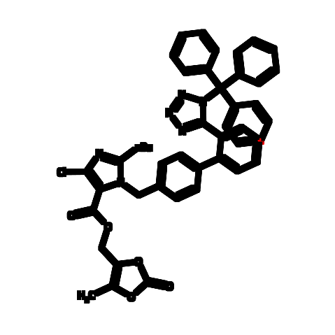 CCCCc1nc(Cl)c(C(=O)OCc2oc(=O)oc2C)n1Cc1ccc(-c2ccccc2-c2nnnn2C(c2ccccc2)(c2ccccc2)c2ccccc2)cc1